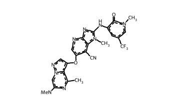 CNc1cn2ncc(Oc3cnc4nc(Nc5cc(C(F)(F)F)cn(C)c5=O)n(C)c4c3C#N)c2c(C)n1